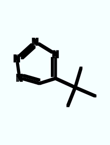 CC(C)(C)c1cnnnn1